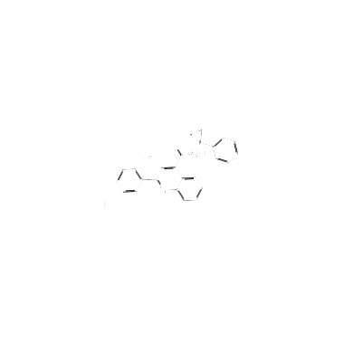 CC(C)COc1c(-c2cccc(C(F)(F)F)c2)nc2ccccc2c1C(=O)NC1(c2ccccc2)CC1